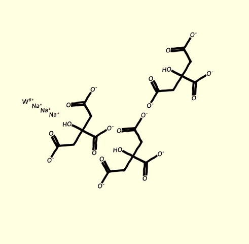 O=C([O-])CC(O)(CC(=O)[O-])C(=O)[O-].O=C([O-])CC(O)(CC(=O)[O-])C(=O)[O-].O=C([O-])CC(O)(CC(=O)[O-])C(=O)[O-].[Na+].[Na+].[Na+].[W+6]